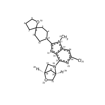 Cn1c(N2CCC3(CCCO3)CC2)nc2c(N3C[C@H]4C[C@@H]3CO4)nc(Cl)cc21